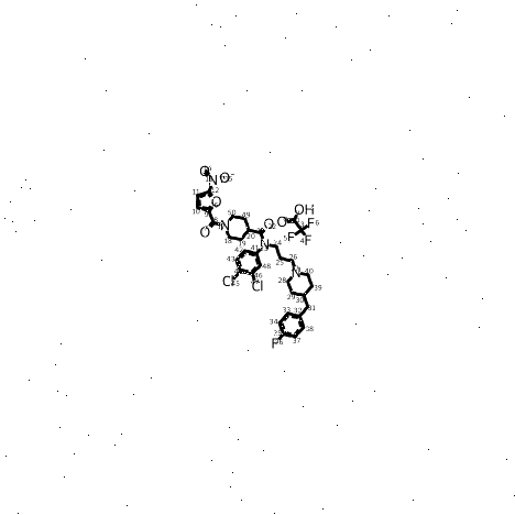 O=C(O)C(F)(F)F.O=C(c1ccc([N+](=O)[O-])o1)N1CCC(C(=O)N(CCCN2CCC(Cc3ccc(F)cc3)CC2)c2ccc(Cl)c(Cl)c2)CC1